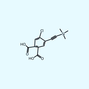 C[Si](C)(C)C#Cc1cc(C(=O)O)c(C(=O)O)cc1Cl